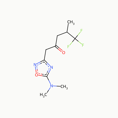 CC(CC(=O)Cc1noc(N(C)C)n1)C(F)(F)F